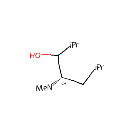 CN[C@@H](CC(C)C)C(O)C(C)C